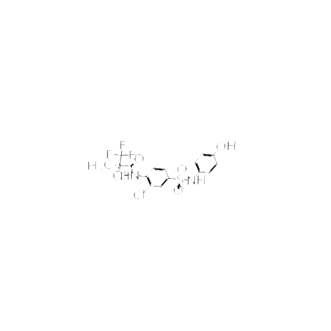 C[C@@](O)(C(=O)Nc1ccc(S(=O)(=O)Nc2ccc(O)cc2)cc1Cl)C(F)(F)F